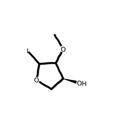 COC1C(I)OC[C@@H]1O